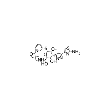 CO[C@@H]1[C@@H](n2cc(-c3csc(N)n3)nn2)[C@@H](O)[C@@H](CO)O[C@@H]1SC1=CC=CN(C2OCC23CNC3)C1